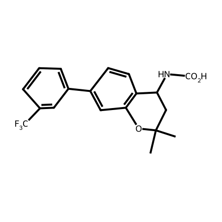 CC1(C)CC(NC(=O)O)c2ccc(-c3cccc(C(F)(F)F)c3)cc2O1